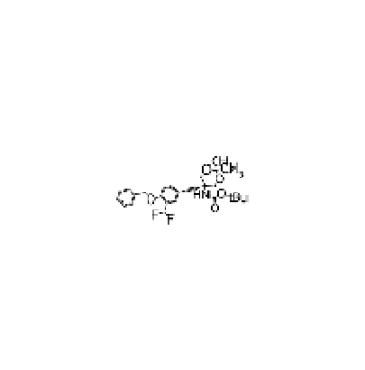 CC(C)(C)OC(=O)NC1(C#Cc2ccc(OCc3ccccc3)c(C(F)F)c2)COC(C)(C)OC1